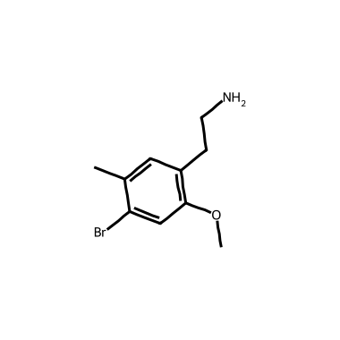 COc1cc(Br)c(C)cc1CCN